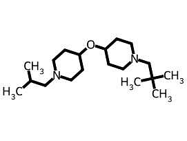 CC(C)CN1CCC(OC2CCN(CC(C)(C)C)CC2)CC1